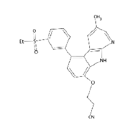 CCS(=O)(=O)c1cccc(-c2ccc(OCCC#N)c3[nH]c4ncc(C)cc4c23)c1